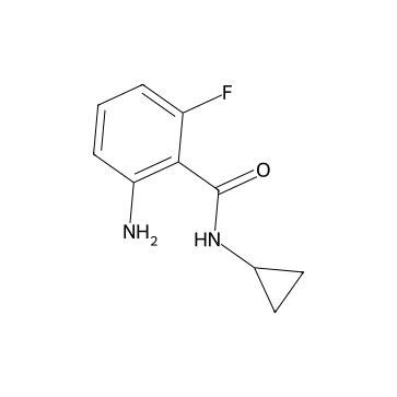 Nc1cccc(F)c1C(=O)NC1CC1